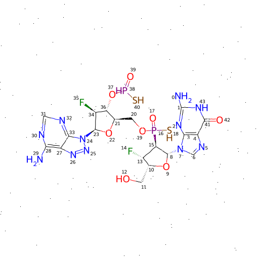 Nc1nc2c(ncn2[C@@H]2O[C@H](CO)[C@H](F)[C@H]2P(=O)(S)OC[C@H]2O[C@@H](n3nnc4c(N)ncnc43)[C@@H](F)[C@@H]2O[PH](=O)S)c(=O)[nH]1